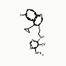 N#Cc1c(N)ncnc1NCCc1cnc2ccc(F)cc2c1C1CC1